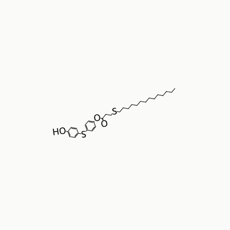 CCCCCCCCCCCCCCSCCC(=O)Oc1ccc(Sc2ccc(O)cc2)cc1